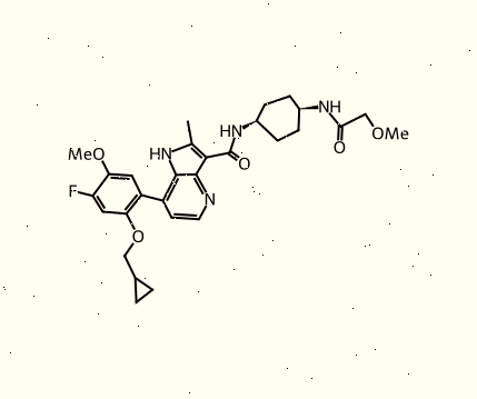 COCC(=O)N[C@H]1CC[C@@H](NC(=O)c2c(C)[nH]c3c(-c4cc(OC)c(F)cc4OCC4CC4)ccnc23)CC1